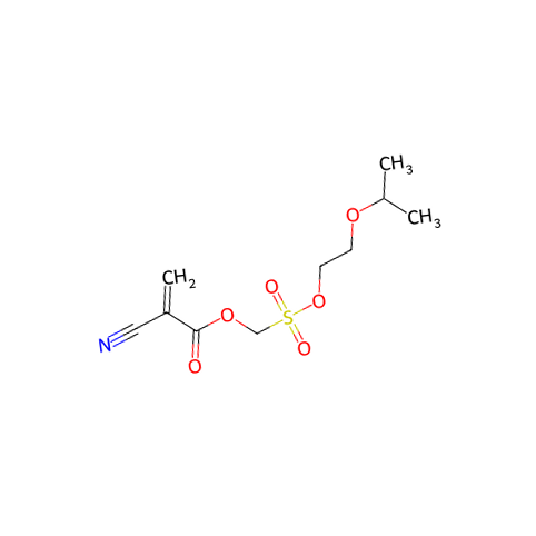 C=C(C#N)C(=O)OCS(=O)(=O)OCCOC(C)C